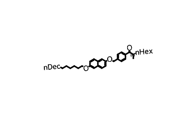 CCCCCCCCCCCCCCCCOc1ccc2cc(OCc3ccc(C(=O)[C@H](C)CCCCCC)cc3)ccc2c1